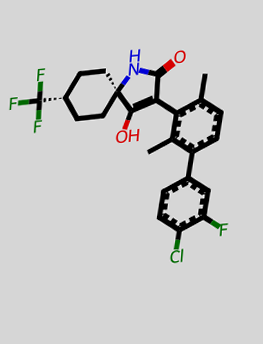 Cc1ccc(-c2ccc(Cl)c(F)c2)c(C)c1C1=C(O)[C@]2(CC[C@@H](C(F)(F)F)CC2)NC1=O